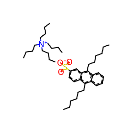 CCCCCCc1c2ccccc2c(CCCCCC)c2cc(S(=O)(=O)[O-])ccc12.CCCC[N+](CCCC)(CCCC)CCCC